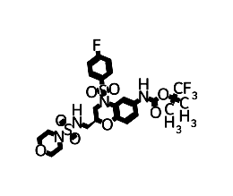 CC(C)(OC(=O)Nc1ccc2c(c1)N(S(=O)(=O)c1ccc(F)cc1)C[C@H](CNS(=O)(=O)N1CCOCC1)O2)C(F)(F)F